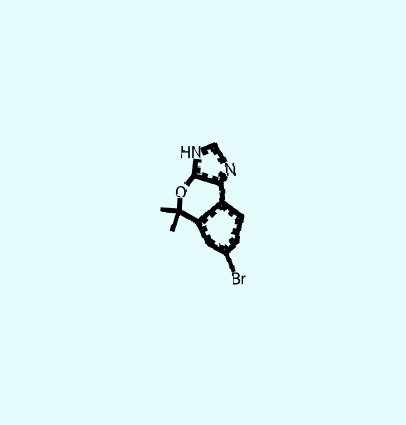 CC1(C)Oc2[nH]cnc2-c2ccc(Br)cc21